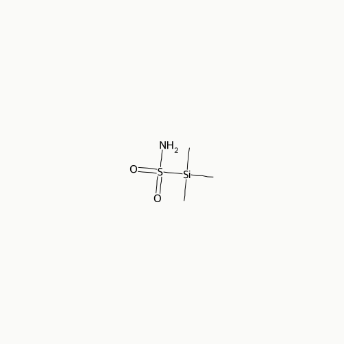 C[Si](C)(C)S(N)(=O)=O